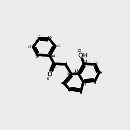 O=C(Cc1cccc2cccc(O)c12)c1ccccc1